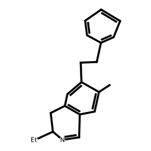 CCC1Cc2cc(CCc3ccccc3)c(C)cc2C=N1